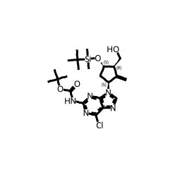 C=C1[C@H](CO)[C@@H](O[Si](C)(C)C(C)(C)C)C[C@@H]1n1cnc2c(Cl)nc(NC(=O)OC(C)(C)C)nc21